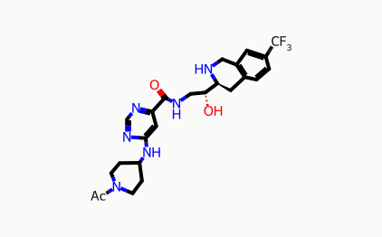 CC(=O)N1CCC(Nc2cc(C(=O)NC[C@@H](O)[C@@H]3Cc4ccc(C(F)(F)F)cc4CN3)ncn2)CC1